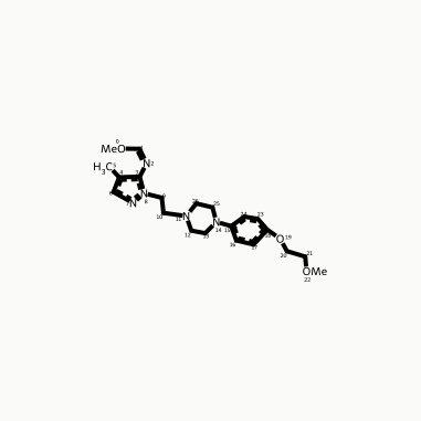 CO/C=N\c1c(C)cnn1CCN1CCN(c2ccc(OCCOC)cc2)CC1